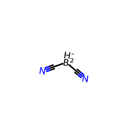 N#C[BH2-]C#N